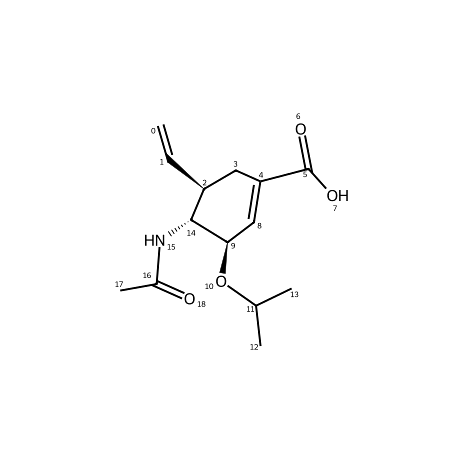 C=C[C@H]1CC(C(=O)O)=C[C@@H](OC(C)C)[C@@H]1NC(C)=O